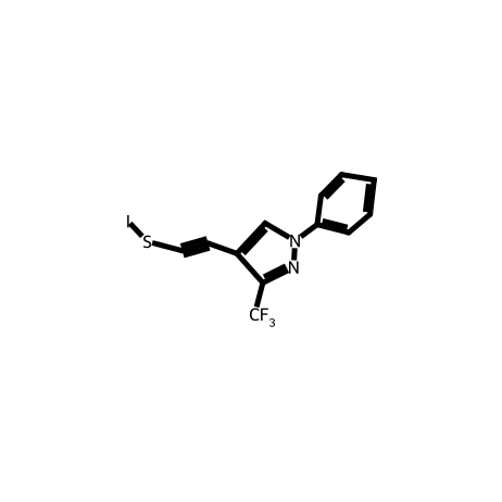 FC(F)(F)c1nn(-c2ccccc2)cc1C#CSI